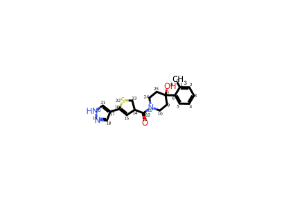 Cc1ccccc1C1(O)CCN(C(=O)C2C=C(c3cn[nH]c3)SC2)CC1